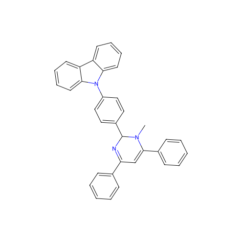 CN1C(c2ccccc2)=CC(c2ccccc2)=NC1c1ccc(-n2c3ccccc3c3ccccc32)cc1